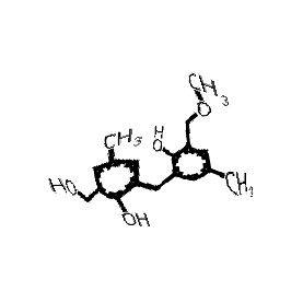 COCc1cc(C)cc(Cc2cc(C)cc(CO)c2O)c1O